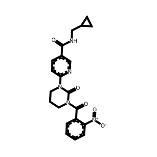 O=C(NCC1CC1)c1ccc(N2CCCN(C(=O)c3ccccc3[N+](=O)[O-])C2=O)nc1